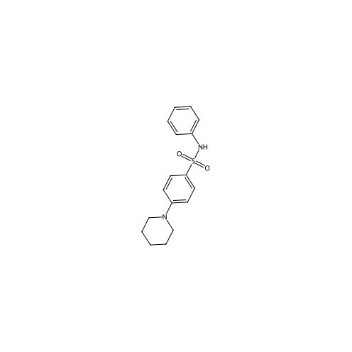 O=S(=O)(Nc1ccccc1)c1ccc(N2CCCCC2)cc1